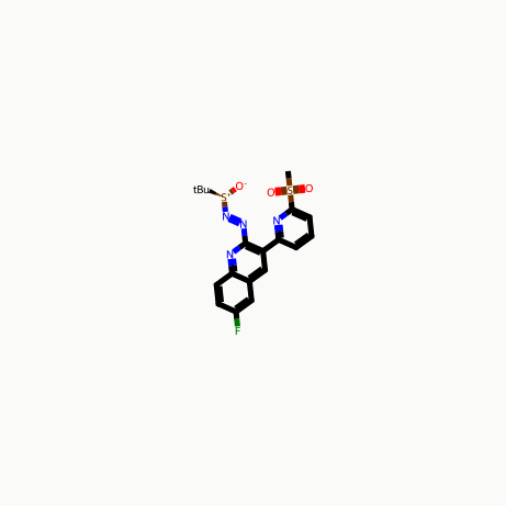 CC(C)(C)[S@@+]([O-])/N=N/c1nc2ccc(F)cc2cc1-c1cccc(S(C)(=O)=O)n1